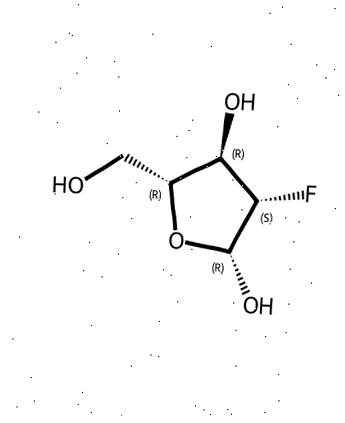 OC[C@H]1O[C@@H](O)[C@@H](F)[C@@H]1O